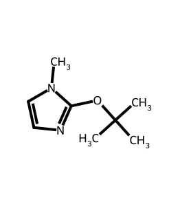 Cn1ccnc1OC(C)(C)C